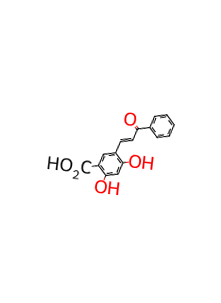 O=C(/C=C/c1cc(C(=O)O)c(O)cc1O)c1ccccc1